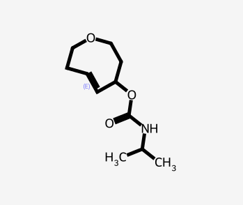 CC(C)NC(=O)OC1/C=C/CCOCC1